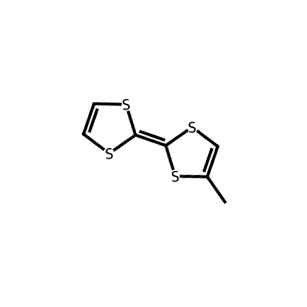 CC1=CSC(=C2SC=CS2)S1